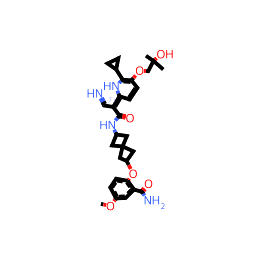 COc1ccc(OC2CC3(CC(NC(=O)/C(C=N)=C4\C=CC(OCC(C)(C)O)=C(C5CC5)N4)C3)C2)c(C(N)=O)c1